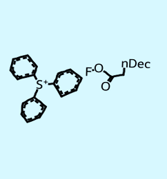 CCCCCCCCCCCC(=O)OF.c1ccc([S+](c2ccccc2)c2ccccc2)cc1